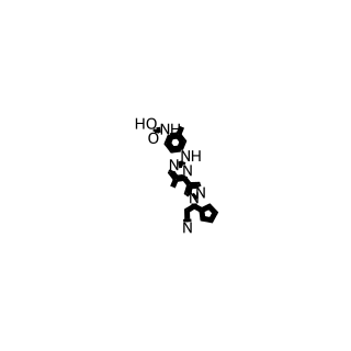 Cc1cc(Nc2ncc(C)c(-c3cnn(C(CC#N)C4CCCC4)c3)n2)ccc1NC(=O)O